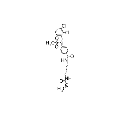 COC(=O)NCCCCNC(=O)c1ccc(N(Cc2cccc(Cl)c2Cl)S(C)(=O)=O)cc1